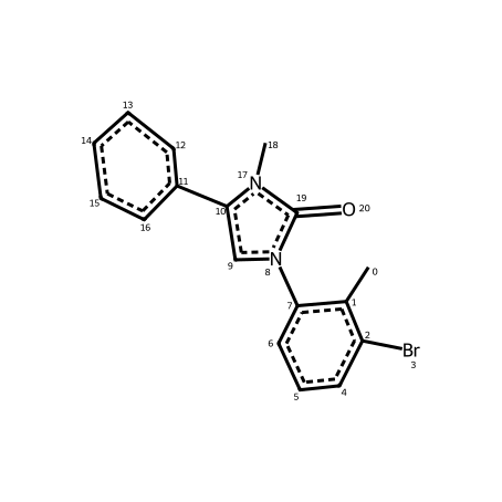 Cc1c(Br)cccc1-n1cc(-c2ccccc2)n(C)c1=O